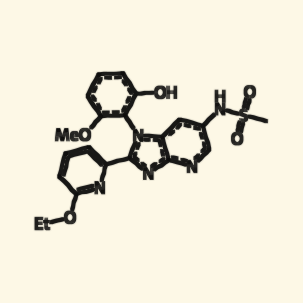 CCOC1=NC(c2nc3ncc(NS(C)(=O)=O)cc3n2-c2c(O)cccc2OC)=C=C=C1